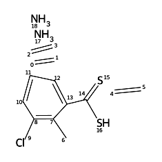 C=C.C=C.C=C.Cc1c(Cl)cccc1C(=S)S.N.N